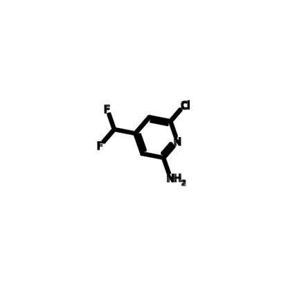 Nc1cc(C(F)F)cc(Cl)n1